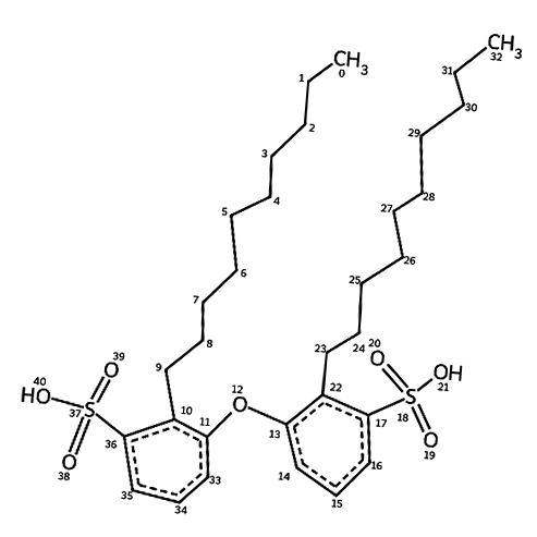 CCCCCCCCCCc1c(Oc2cccc(S(=O)(=O)O)c2CCCCCCCCCC)cccc1S(=O)(=O)O